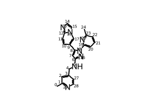 Cc1cc(CNc2cc(-c3ccc4nccn4c3)n(-c3cccc(C)n3)n2)ccn1